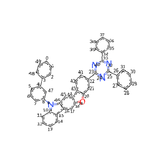 c1ccc(-c2cccc(-n3c4ccccc4c4cc5oc6cc(-c7nc(-c8ccccc8)nc(-c8ccccc8)n7)ccc6c5cc43)c2)cc1